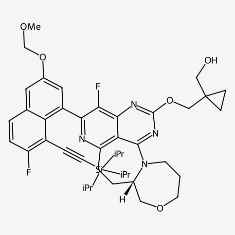 COCOc1cc(-c2nc3c4c(nc(OCC5(CO)CC5)nc4c2F)N2CCCOC[C@@H]2CC3)c2c(C#C[Si](C(C)C)(C(C)C)C(C)C)c(F)ccc2c1